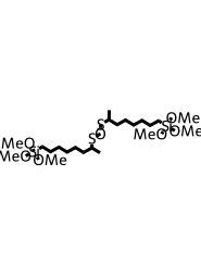 CO[Si](CCCCCCC(C)SOSC(C)CCCCCC[Si](OC)(OC)OC)(OC)OC